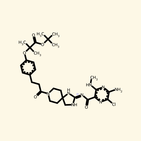 CNc1nc(N)c(Cl)nc1C(=O)/N=C1\NCC2(CCN(C(=O)CCc3ccc(OC(C)(C)C(=O)OC(C)(C)C)cc3)CC2)N1